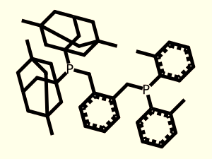 Cc1ccccc1P(Cc1ccccc1CP(C12CC3CC(C)(CC(C)(C3)C1)C2)C12CC3CC(C)(CC(C)(C3)C1)C2)c1ccccc1C